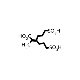 CC(C(=O)O)=C(CCCS(=O)(=O)O)CCCS(=O)(=O)O